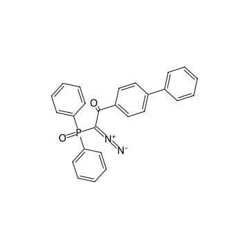 [N-]=[N+]=C(C(=O)c1ccc(-c2ccccc2)cc1)P(=O)(c1ccccc1)c1ccccc1